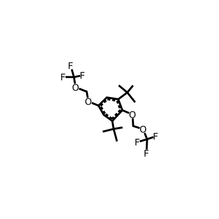 CC(C)(C)c1cc(OCOC(F)(F)F)cc(C(C)(C)C)c1OCOC(F)(F)F